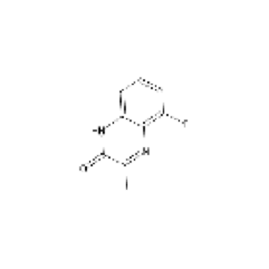 Cc1nc2c(F)cccc2[nH]c1=O